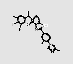 Cc1cn(-c2ccc(-c3nc4c(=O)n(C(C)c5cc(C)c(F)c(F)c5)ccc4[nH]3)cc2C)cn1